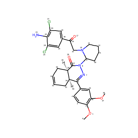 COc1ccc(C2=NN(C3CCCCN3CC(=O)c3cc(Cl)c(N)c(Cl)c3)C(=O)[C@@H]3CC=CC[C@H]23)cc1OC